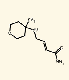 CC1(NCC=CC(N)=O)CCOCC1